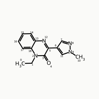 CCn1c(=O)c(-c2cnn(C)c2)nc2ccccc21